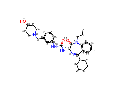 CCCN1C(=O)C(NC(=O)Nc2cccc(CN3CCC(O)CC3)c2)N=C(C2CCCCC2)c2ccccc21